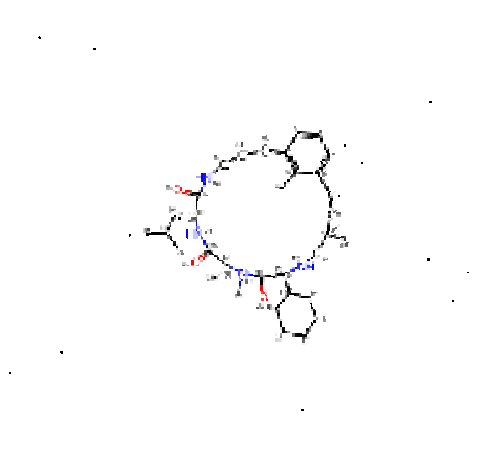 Cc1c2cccc1CC[C@@H](C)CN[C@@H](C1CCCCC1)C(=O)N(C)[C@H](C)C(=O)N[C@H](CC(C)C)C(=O)NCCC2